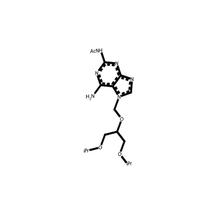 CC(=O)Nc1nc(N)c2c(ncn2COC(COC(C)C)COC(C)C)n1